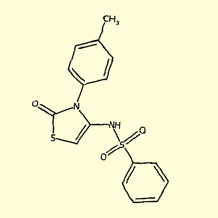 Cc1ccc(-n2c(NS(=O)(=O)c3ccccc3)csc2=O)cc1